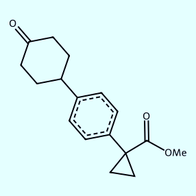 COC(=O)C1(c2ccc(C3CCC(=O)CC3)cc2)CC1